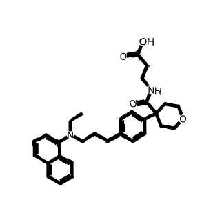 CCN(CCCc1ccc(C2(C(=O)NCCC(=O)O)CCOCC2)cc1)c1cccc2ccccc12